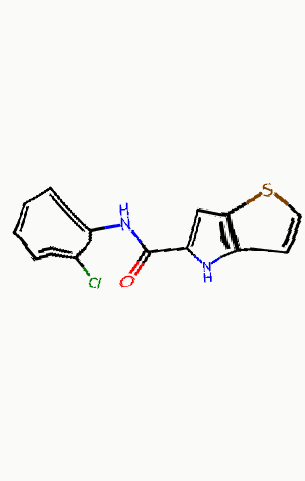 O=C(Nc1ccccc1Cl)c1cc2sccc2[nH]1